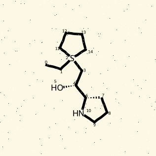 CCS1(C[C@@H](O)[C@@H]2CCCN2)CCCC1